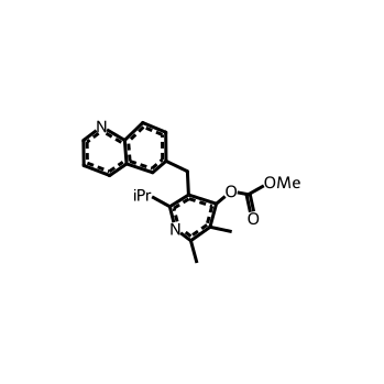 COC(=O)Oc1c(C)c(C)nc(C(C)C)c1Cc1ccc2ncccc2c1